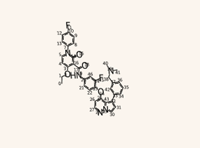 CCOc1ccn(-c2ccc(F)cc2)c(=O)c1C(=O)Nc1ccc(Oc2ccnn3ccc(-c4cccc(CN(C)C)c4)c23)c(F)c1